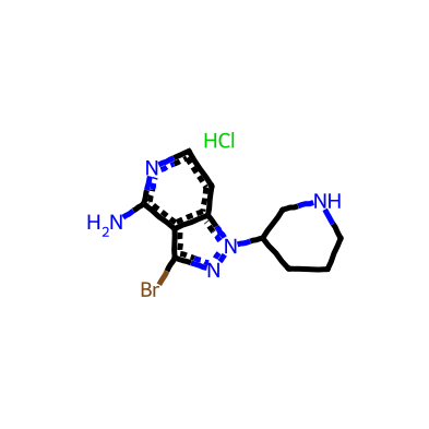 Cl.Nc1nccc2c1c(Br)nn2C1CCCNC1